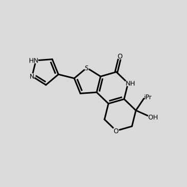 CC(C)C1(O)COCc2c1[nH]c(=O)c1sc(-c3cn[nH]c3)cc21